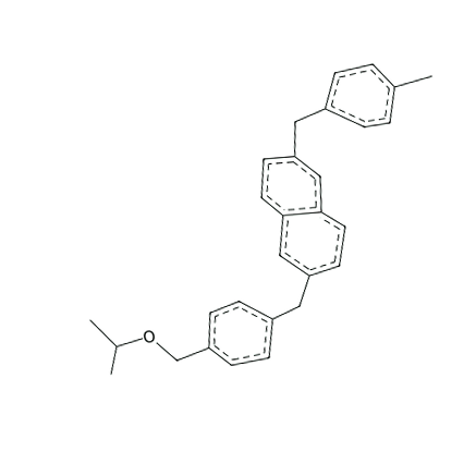 Cc1ccc(Cc2ccc3cc(Cc4ccc(COC(C)C)cc4)ccc3c2)cc1